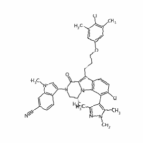 Cc1cc(OCCCc2c3n(c4c(-c5c(C)nn(C)c5C)c(Cl)ccc24)[C@H](C)CN(c2cn(C)c4cc(C#N)ccc24)C3=O)cc(C)c1Cl